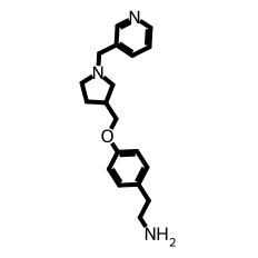 NCCc1ccc(OCC2CCN(Cc3cccnc3)C2)cc1